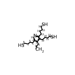 C=CCc1c(CCCCS)cnc(CCCCS)c1CCCCS